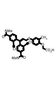 C#Cc1cc(C(=O)NC)ccc1C(=CCSc1ccc(OCC(=O)O)c(C)c1)c1ccc(C(=O)NC)cc1C#C